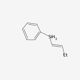 CCC=C[SiH2]c1ccccc1